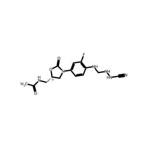 CC(=O)NC[C@H]1CN(c2ccc(NCNNC#N)c(F)c2)C(=O)O1